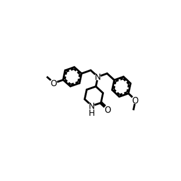 COc1ccc(CN(Cc2ccc(OC)cc2)C2CCNC(=O)C2)cc1